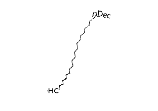 [CH]=CC=CC=CC=CCCCCCCCCCCCCCCCCCCCCCCCC